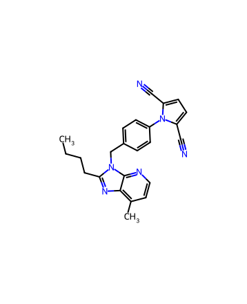 CCCCc1nc2c(C)ccnc2n1Cc1ccc(-n2c(C#N)ccc2C#N)cc1